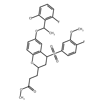 COC(=O)CCC1CC(S(=O)(=O)c2ccc(F)c(OC)c2)c2cc(OC(C)c3c(F)cccc3Cl)ccc2O1